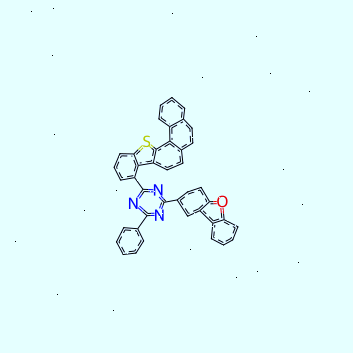 c1ccc(-c2nc(-c3ccc4oc5ccccc5c4c3)nc(-c3cccc4sc5c(ccc6ccc7ccccc7c65)c34)n2)cc1